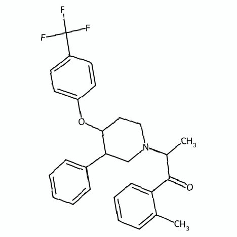 Cc1ccccc1C(=O)C(C)N1CCC(Oc2ccc(C(F)(F)F)cc2)C(c2ccccc2)C1